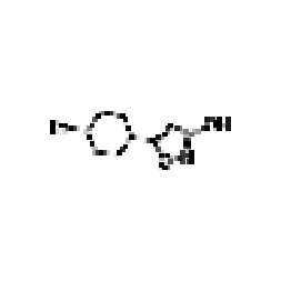 CCC1CCC(c2cc(O)no2)CC1